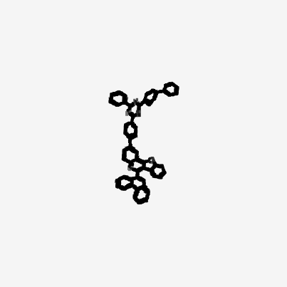 c1ccc(-c2ccc(-c3nc(-c4ccccc4)nc(-c4ccc(-c5ccc6nc(-c7cc8ccccc8c8ccccc78)c7c8ccccc8oc7c6c5)cc4)n3)cc2)cc1